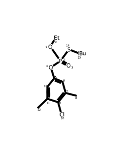 CCOP(=O)(Oc1cc(C)c(Cl)c(C)c1)SC(C)CC